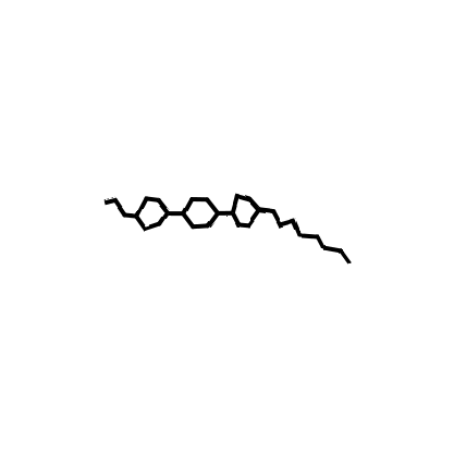 CCCCCCCCC1CCC(C2CCC(C3CCC(CCC)CC3)CC2)CC1